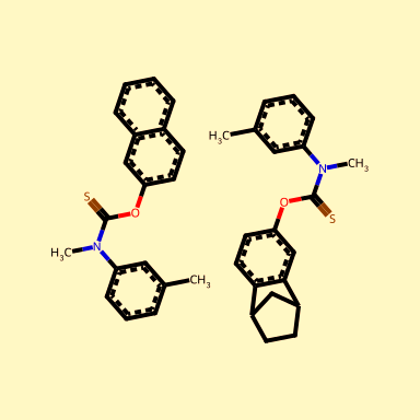 Cc1cccc(N(C)C(=S)Oc2ccc3c(c2)C2CCC3C2)c1.Cc1cccc(N(C)C(=S)Oc2ccc3ccccc3c2)c1